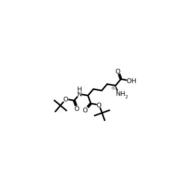 CC(C)(C)OC(=O)NC(CCC[C@H](N)C(=O)O)C(=O)OC(C)(C)C